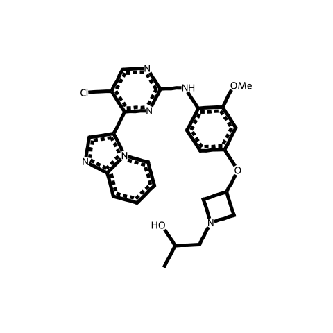 COc1cc(OC2CN(CC(C)O)C2)ccc1Nc1ncc(Cl)c(-c2cnc3ccccn23)n1